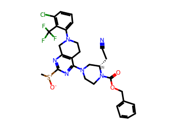 C[S+]([O-])c1nc2c(c(N3CCN(C(=O)OCc4ccccc4)[C@@H](CC#N)C3)n1)CCN(c1cccc(Cl)c1C(F)(F)F)C2